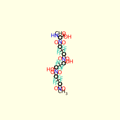 CNc1cc(C(=O)O)cc(N2C(=O)c3ccc(C(c4ccc5c(c4)C(=O)N(c4cc(C(c6ccc(O)c(N7C(=O)c8ccc(C(c9ccc%10c(c9)C(=O)N(C)C%10=O)(C(F)(F)F)C(F)(F)F)cc8C7=O)c6)(C(F)(F)F)C(F)(F)F)ccc4O)C5=O)(C(F)(F)F)C(F)(F)F)cc3C2=O)c1